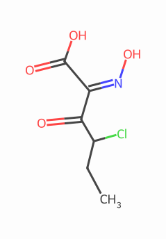 CCC(Cl)C(=O)C(=NO)C(=O)O